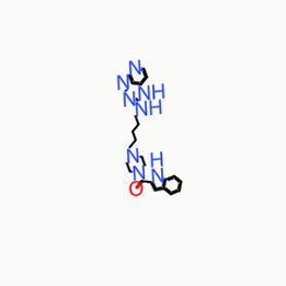 N#CN=C(NCCCCCN1CCN(C(=O)c2cc3ccccc3[nH]2)CC1)Nc1ccncc1